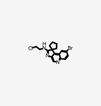 ClCCNC1=Nc2cnc3ccc(Br)cc3c2C12CCCC2